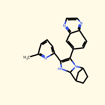 Cc1cccc(C2=C(c3ccc4nccnc4c3)N3C4CCC(C4)C3N2)n1